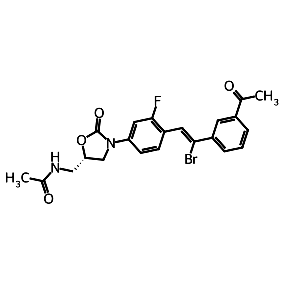 CC(=O)NC[C@H]1CN(c2ccc(/C=C(\Br)c3cccc(C(C)=O)c3)c(F)c2)C(=O)O1